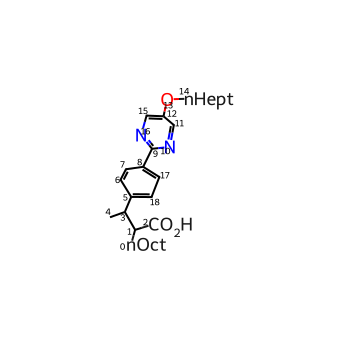 CCCCCCCCC(C(=O)O)C(C)c1ccc(-c2ncc(OCCCCCCC)cn2)cc1